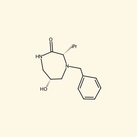 CC(C)[C@H]1C(=O)NC[C@@H](O)CN1Cc1ccccc1